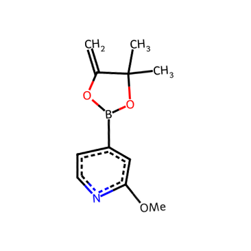 C=C1OB(c2ccnc(OC)c2)OC1(C)C